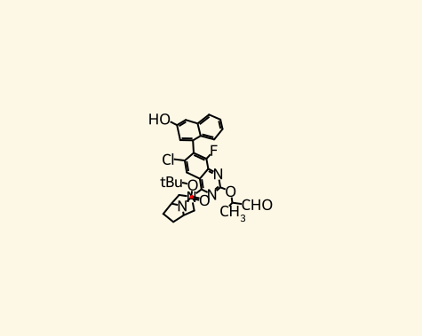 CC(C=O)Oc1nc(N2CC3CCC(C2)N3C(=O)OC(C)(C)C)c2cc(Cl)c(-c3cc(O)cc4ccccc34)c(F)c2n1